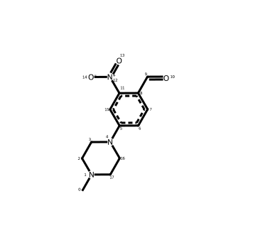 CN1CCN(c2ccc(C=O)c([N+](=O)[O-])c2)CC1